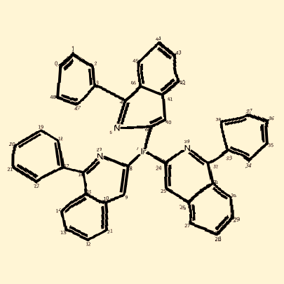 c1ccc(-c2n[c]([Ir]([c]3cc4ccccc4c(-c4ccccc4)n3)[c]3cc4ccccc4c(-c4ccccc4)n3)cc3ccccc23)cc1